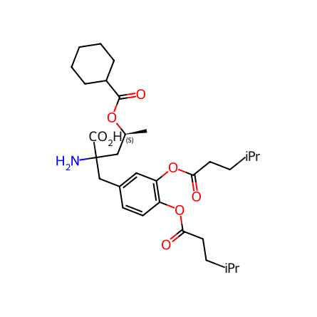 CC(C)CCC(=O)Oc1ccc(CC(N)(C[C@H](C)OC(=O)C2CCCCC2)C(=O)O)cc1OC(=O)CCC(C)C